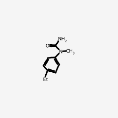 [CH2]Cc1ccc(N(C)C(N)=O)cc1